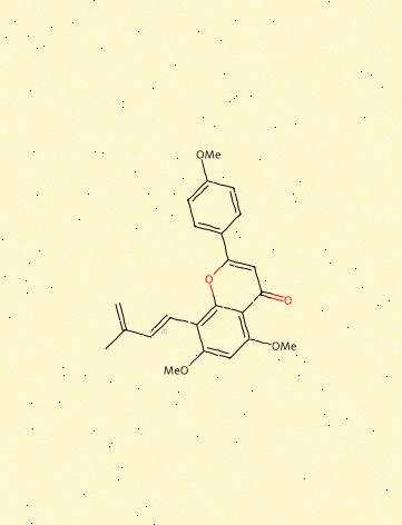 C=C(C)/C=C/c1c(OC)cc(OC)c2c(=O)cc(-c3ccc(OC)cc3)oc12